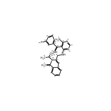 C=C1c2ccccc2C=C(CNc2ncnc(N)c2C(=N)c2cccc(F)c2)N1C(C)C